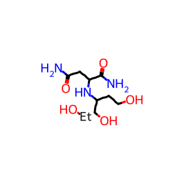 CCO.NC(=O)CC(NC(CO)CCO)C(N)=O